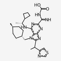 CC(c1cscn1)c1nc2nc(C(=N)NC(=O)O)nc(N[C@H](C)C3CCC3)c2n1C[C@H]1CC[C@H](C)CC1